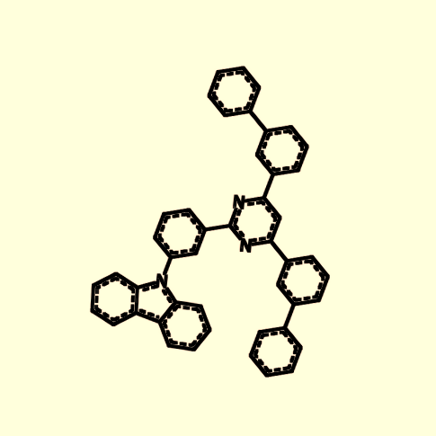 c1ccc(-c2cccc(-c3cc(-c4cccc(-c5ccccc5)c4)nc(-c4cccc(-n5c6ccccc6c6ccccc65)c4)n3)c2)cc1